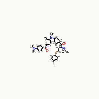 C=Cc1c(/C=C(\C)C(=O)c2ccc(N(CC)CC)cc2)c2cc(C(=O)/C(CCSc3ccc(C)cc3)=N/OC(C)=O)ccc2n1CC